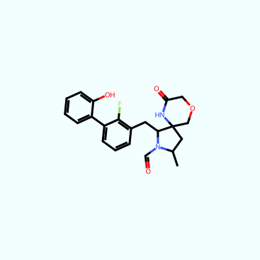 CC1CC2(COCC(=O)N2)C(Cc2cccc(-c3ccccc3O)c2F)N1C=O